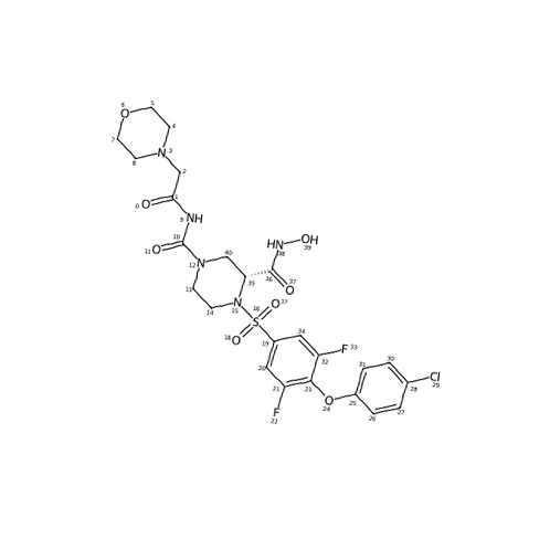 O=C(CN1CCOCC1)NC(=O)N1CCN(S(=O)(=O)c2cc(F)c(Oc3ccc(Cl)cc3)c(F)c2)[C@@H](C(=O)NO)C1